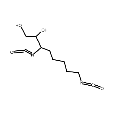 O=C=NCCCCCC(N=C=O)C(O)CO